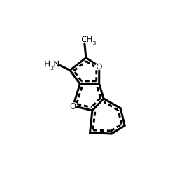 Cc1oc2c(oc3ccccc32)c1N